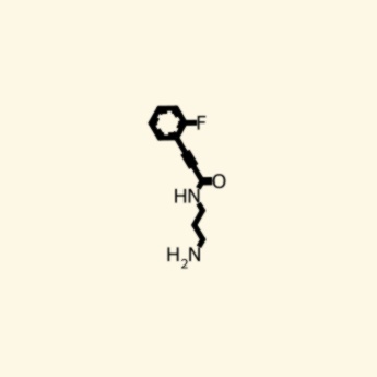 NCCCNC(=O)C#Cc1ccccc1F